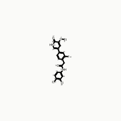 CCOc1cc(-c2ccc(CC(=O)Nc3ccc(Cl)c(Cl)c3)c(F)c2)c[nH]c1=O